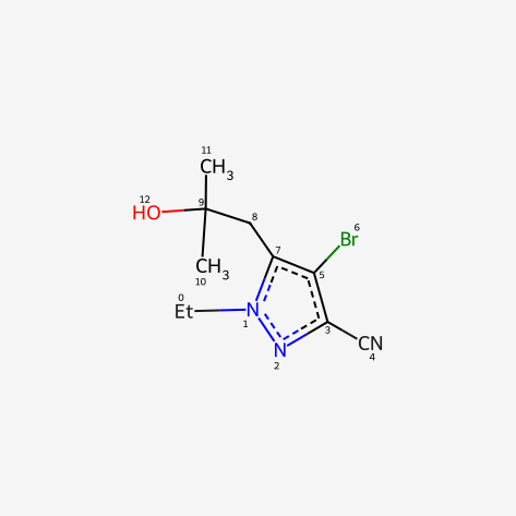 CCn1nc(C#N)c(Br)c1CC(C)(C)O